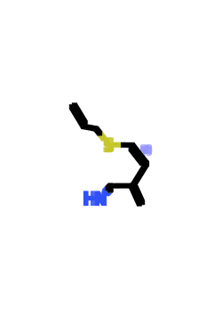 C=CCS/C=C\C(=C)C=N